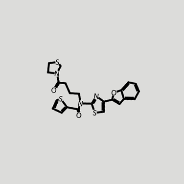 O=C(CCCN(C(=O)c1cccs1)c1nc(-c2cc3ccccc3o2)cs1)N1CCSC1